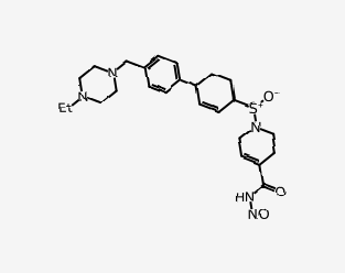 CCN1CCN(Cc2ccc(C3C=CC([S+]([O-])N4CC=C(C(=O)NN=O)CC4)CC3)cc2)CC1